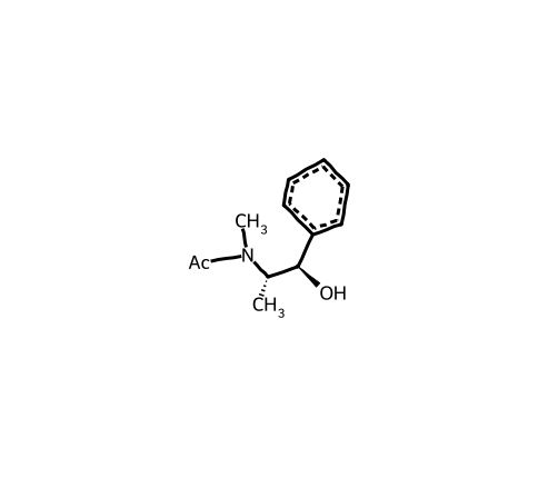 CC(=O)N(C)[C@@H](C)[C@H](O)c1ccccc1